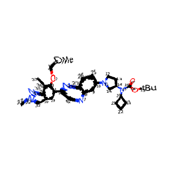 COCOc1c(-c2cnc3cc(N4CC[C@@H](N(C(=O)OC(C)(C)C)C5CCC5)C4)ccc3n2)cc2cn(C)nc2c1C